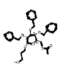 CC(=O)SC[C@H]1O[C@H](OCCCO)[C@H](OCc2ccccc2)[C@@H](OCc2ccccc2)[C@@H]1OCc1ccccc1